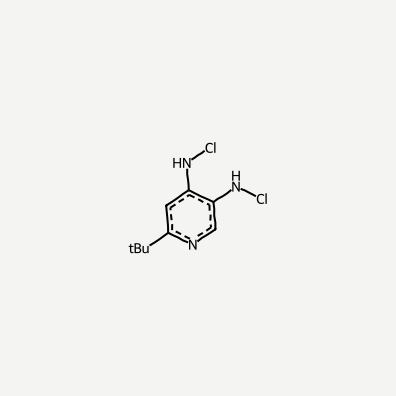 CC(C)(C)c1cc(NCl)c(NCl)cn1